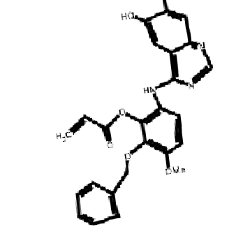 C=CC(=O)Oc1c(Nc2ncnc3cc(OC)c(O)cc23)ccc(OC)c1OCc1ccccc1